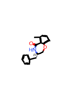 Cc1cccc2c1C(=O)N[C@@H](Cc1ccccc1)CO2